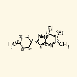 CCc1c(C)nc2cc([C@H]3CC[C@H](C(F)(F)F)CC3)nn2c1Cl